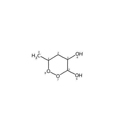 CC1CC(O)C(O)OO1